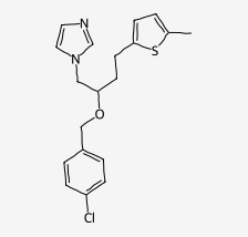 Cc1ccc(CCC(Cn2ccnc2)OCc2ccc(Cl)cc2)s1